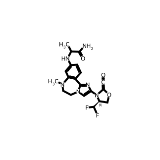 CC(Nc1ccc2c(c1)N(C)CCn1cc(N3C(=C=O)OC[C@H]3C(F)F)nc1-2)C(N)=O